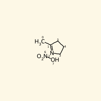 CC1=NCCC1.O=[N+]([O-])O